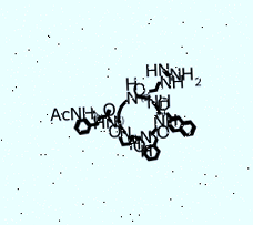 CC(=O)NC[C@@H](Cc1ccccc1)C(=O)N[C@H]1CCCNC(=O)[C@H](CCCNC(=N)N)NC(=O)[C@H](Cc2ccc3ccccc3c2)NC(=O)[C@@H](CC2CCCCC2)NC(=O)[C@@H]2CCCN2C1=O